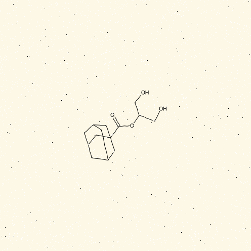 O=C(OC(CO)CO)C12CC3CC(CC(C3)C1)C2